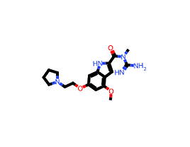 COc1cc(OCCN2CCCC2)cc2[nH]c(C(=O)N(C)C(=N)N)cc12